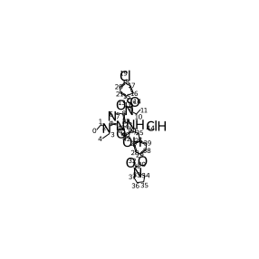 CCN(CC)c1ncc(N(CC)S(=O)(=O)c2ccc(Cl)cc2)c(N[C@@H](Cc2ccc(OC(=O)N3CCCC3)cc2)C(=O)O)n1.Cl